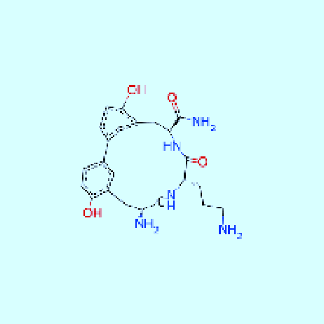 NCCC[C@@H]1NC[C@@H](N)Cc2cc(ccc2O)-c2ccc(O)c(c2)C[C@@H](C(N)=O)NC1=O